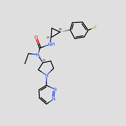 CCN(C(=O)N[C@H]1C[C@@H]1c1ccc(F)cc1)[C@H]1CCN(c2cccnn2)C1